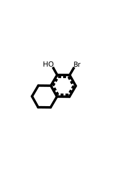 Oc1c(Br)ccc2c1CCCC2